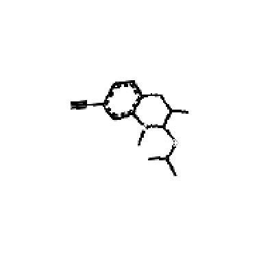 C#Cc1ccc2c(c1)N(C)C(OC(C)C)C(C)C2